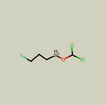 FCCC[SiH2]OC(Cl)Cl